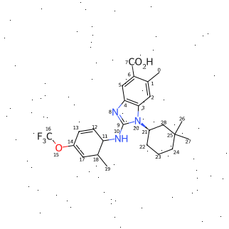 Cc1cc2c(cc1C(=O)O)nc(NC1C=CC(OC(F)(F)F)=CC1C)n2[C@@H]1CCCC(C)(C)C1